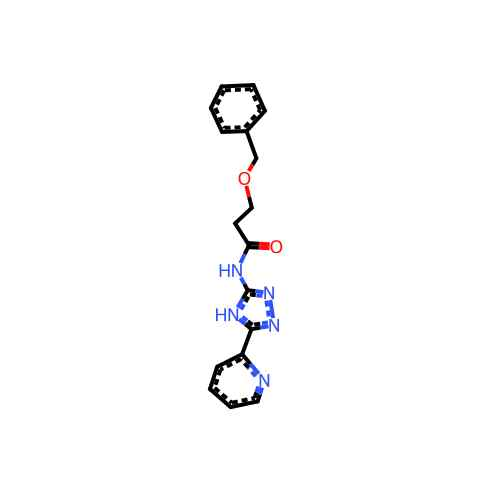 O=C(CCOCc1ccccc1)Nc1nnc(-c2ccccn2)[nH]1